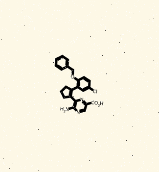 Nc1ncc(C(=O)O)nc1C1=C(c2cc(Cl)ccc2OCc2ccccc2)CCC1